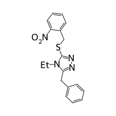 CCn1c(Cc2ccccc2)nnc1SCc1ccccc1[N+](=O)[O-]